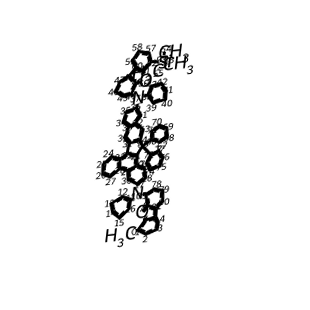 Cc1cccc2c1oc1c(N(c3ccccc3)c3ccc4c5c(c6ccccc6c4c3)-c3cc4ccc(N(c6ccccc6)c6cccc7c6oc6c([Si](C)(C)C)cccc67)cc4cc3C5(c3ccccc3)c3ccccc3)cccc12